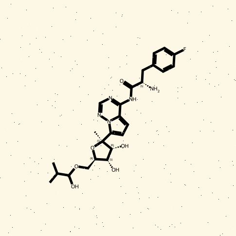 CC(C)C(O)OC[C@H]1O[C@@](C)(c2ccc3c(NC(=O)[C@@H](N)Cc4ccc(F)cc4)ncnn23)[C@H](O)[C@@H]1O